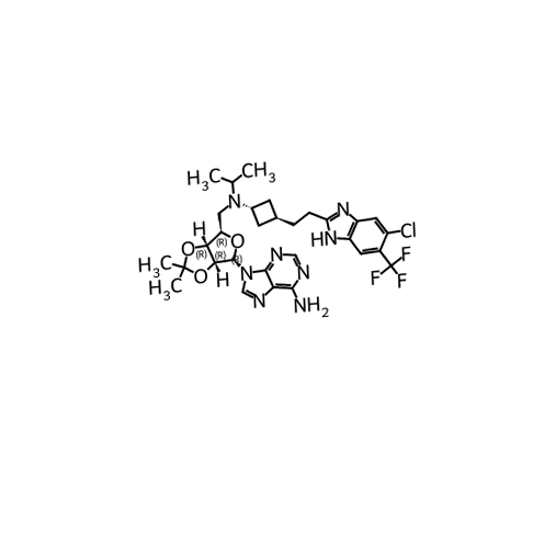 CC(C)N(C[C@H]1O[C@@H](n2cnc3c(N)ncnc32)[C@@H]2OC(C)(C)O[C@@H]21)[C@H]1C[C@H](CCc2nc3cc(Cl)c(C(F)(F)F)cc3[nH]2)C1